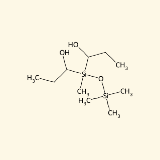 CCC(O)[Si](C)(O[Si](C)(C)C)C(O)CC